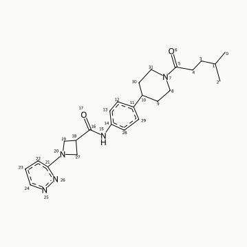 CC(C)CCC(=O)N1CCC(c2ccc(NC(=O)C3CN(c4cccnn4)C3)cc2)CC1